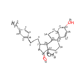 Cc1ccc(CCC2CC(=O)C3(C)CCC4c5ccc(O)cc5CCC4C23)cc1